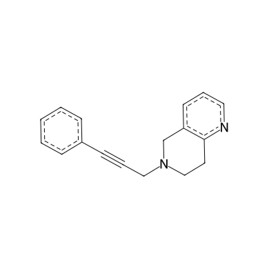 C(#Cc1ccccc1)CN1CCc2ncccc2C1